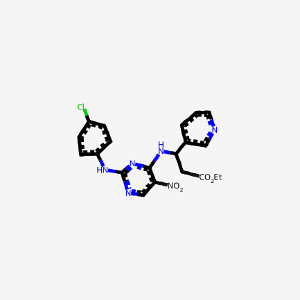 CCOC(=O)CC(Nc1nc(Nc2ccc(Cl)cc2)ncc1[N+](=O)[O-])c1cccnc1